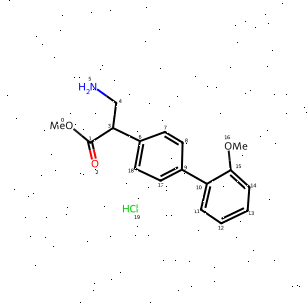 COC(=O)C(CN)c1ccc(-c2ccccc2OC)cc1.Cl